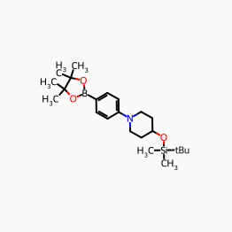 CC1(C)OB(c2ccc(N3CCC(O[Si](C)(C)C(C)(C)C)CC3)cc2)OC1(C)C